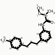 CON(C)C(=O)Nc1cccc(CCCc2ccc(C)cc2)c1